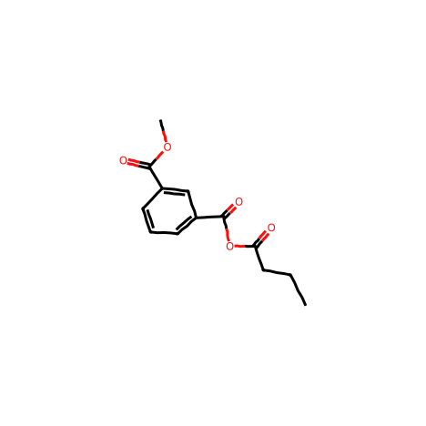 CCCC(=O)OC(=O)c1cccc(C(=O)OC)c1